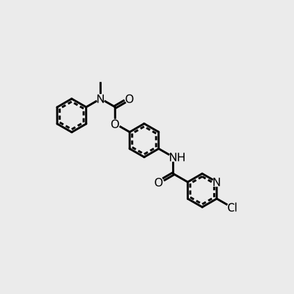 CN(C(=O)Oc1ccc(NC(=O)c2ccc(Cl)nc2)cc1)c1ccccc1